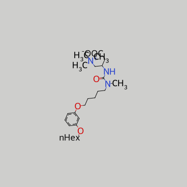 CCCCCCOc1cccc(OCCCCCN(C)C(=O)NC(CC(=O)[O-])C[N+](C)(C)C)c1